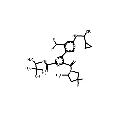 CC1CC(F)(F)CN1C(=O)c1nc(C(=O)NC(C)C(C)(C)O)sc1-c1cnc(NC(C2CC2)C(F)(F)F)cc1C(F)F